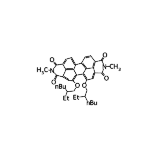 CCCCC(CC)COc1cc2c3c(ccc4c5ccc6c7c(cc(OCC(CC)CCCC)c(c1c34)c75)C(=O)N(C)C6=O)C(=O)N(C)C2=O